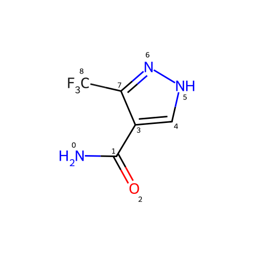 NC(=O)c1c[nH]nc1C(F)(F)F